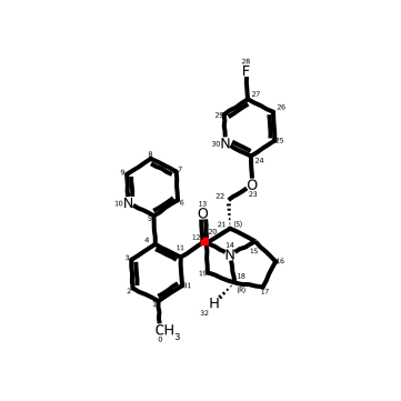 Cc1ccc(-c2ccccn2)c(C(=O)N2C3CC[C@H]2CC[C@@H]3COc2ccc(F)cn2)c1